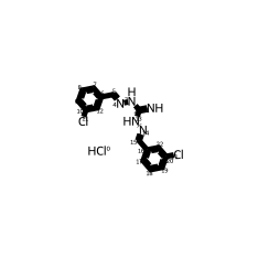 Cl.N=C(NN=Cc1cccc(Cl)c1)NN=Cc1cccc(Cl)c1